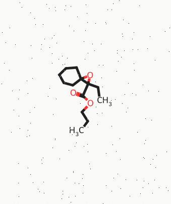 CCCOC(=O)C1(CC)OC12CCCCC2